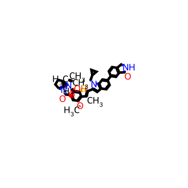 COc1cc(C(=O)N2CC3CCC2[C@@H]3N(C(=O)O)C(C)(C)C)cc2sc(-c3cc4ccc(-c5ccc6c(c5)C(=O)NC6)cc4n3CC3CC3)c(C)c12